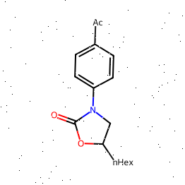 CCCCCCC1CN(c2ccc(C(C)=O)cc2)C(=O)O1